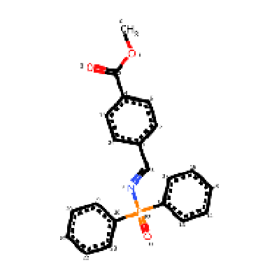 COC(=O)c1ccc(/C=N/P(=O)(c2ccccc2)c2ccccc2)cc1